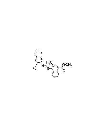 CO/C=C(/C(=O)OC)c1ccccc1CSC=Nc1ccc(OC)cc1C1CC1